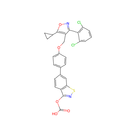 O=C(O)Oc1nsc2cc(-c3ccc(OCc4c(-c5c(Cl)cccc5Cl)noc4C4CC4)cc3)ccc12